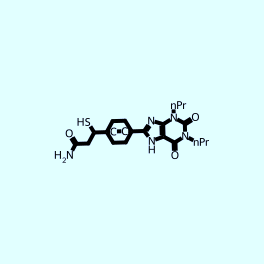 CCCn1c(=O)c2[nH]c(C34CCC(C(S)CC(N)=O)(CC3)CC4)nc2n(CCC)c1=O